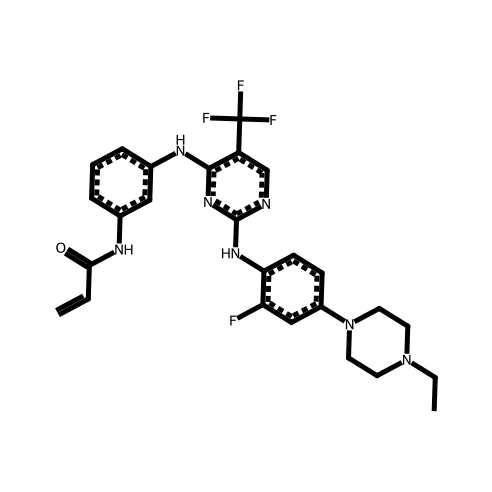 C=CC(=O)Nc1cccc(Nc2nc(Nc3ccc(N4CCN(CC)CC4)cc3F)ncc2C(F)(F)F)c1